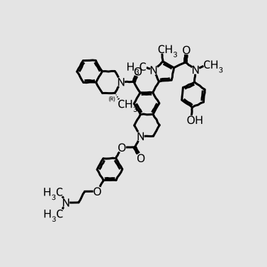 Cc1c(C(=O)N(C)c2ccc(O)cc2)cc(-c2cc3c(cc2C(=O)N2Cc4ccccc4C[C@H]2C)CN(C(=O)Oc2ccc(OCCN(C)C)cc2)CC3)n1C